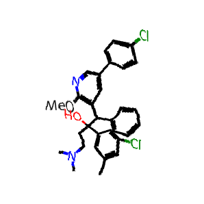 COc1ncc(-c2ccc(Cl)cc2)cc1C(c1ccccc1)C(O)(CCN(C)C)c1cc(C)cc(Cl)c1